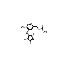 Cc1nn(C)c(Oc2cc(CCC(=O)O)ccc2Cl)c1C